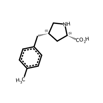 Cc1ccc(C[C@@H]2CN[C@H](C(=O)O)C2)cc1